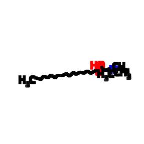 CCCCCCCCCCCCCCCCCCOC(O)CC[N+](C)(C)C